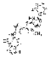 Cn1cc(-c2cc(Nc3ccc4[nH]ncc4c3Cl)no2)cc(NC(=O)c2ccccc2F)c1=O